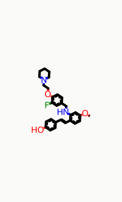 COc1ccc(C=Cc2ccc(O)cc2)c(NCc2ccc(OCCN3CCCCC3)c(F)c2)c1